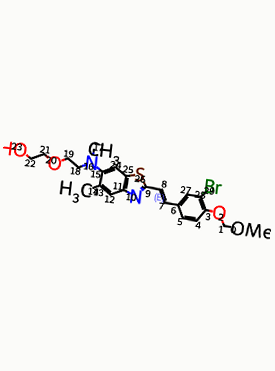 COCOc1ccc(/C=C/c2nc3cc(C)c(N(C)CCOCCO)cc3s2)cc1Br